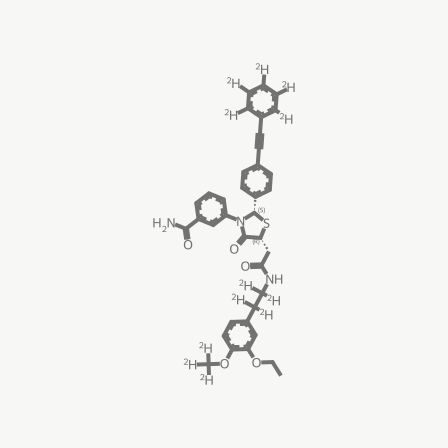 [2H]c1c([2H])c([2H])c(C#Cc2ccc([C@@H]3S[C@H](CC(=O)NC([2H])([2H])C([2H])([2H])c4ccc(OC([2H])([2H])[2H])c(OCC)c4)C(=O)N3c3cccc(C(N)=O)c3)cc2)c([2H])c1[2H]